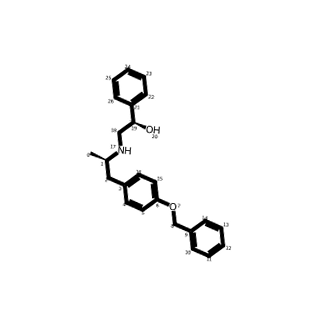 C[C@H](Cc1ccc(OCc2ccccc2)cc1)NC[C@H](O)c1ccccc1